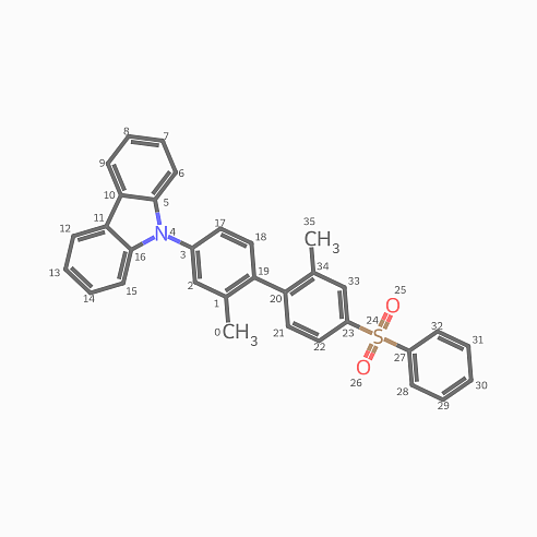 Cc1cc(-n2c3ccccc3c3ccccc32)ccc1-c1ccc(S(=O)(=O)c2ccccc2)cc1C